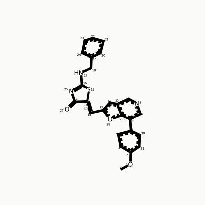 COc1ccc(-c2cncc3cc(/C=C4\SC(NCc5ccccc5)=NC4=O)oc23)cc1